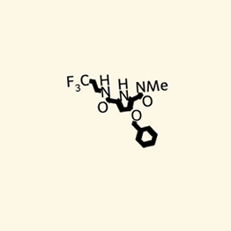 CNC(=O)c1[nH]c(C(=O)NCCC(F)(F)F)cc1OCc1ccccc1